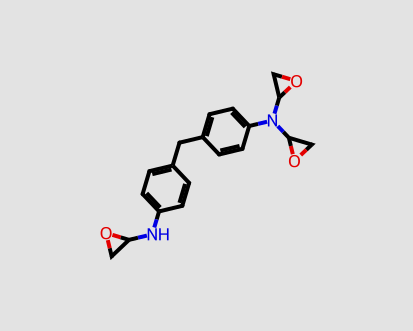 c1cc(NC2CO2)ccc1Cc1ccc(N(C2CO2)C2CO2)cc1